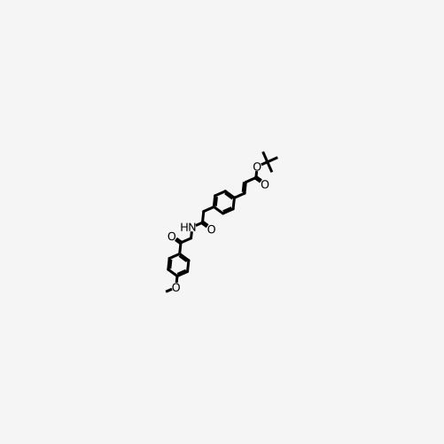 COc1ccc(C(=O)CNC(=O)Cc2ccc(/C=C/C(=O)OC(C)(C)C)cc2)cc1